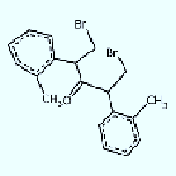 Cc1ccccc1C(CBr)C(=O)C(CBr)c1ccccc1C